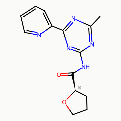 Cc1nc(NC(=O)[C@H]2CCCO2)nc(-c2ccccn2)n1